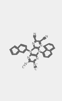 [C-]#[N+]c1nc2c(nc1[N+]#[C-])N(c1cccc3ccccc13)c1nc(C#N)c(C#N)nc1N2c1ccc2ccccc2c1